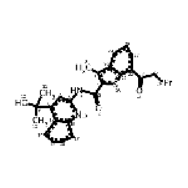 Cc1c(C(=O)Nc2cc(C(C)(C)O)c3ccccc3n2)sc2c(C(=O)CC(C)C)cccc12